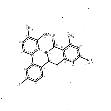 COc1nc(-c2cc(F)ccc2C2Cc3nc(N)nc(C)c3C(=O)N2)ccc1N